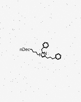 CCCCCCCCCCCCCCn1cc(CCCc2ccccc2)nc1Cc1ccccc1